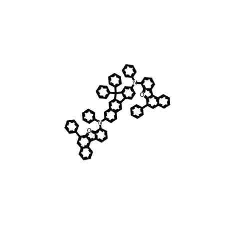 c1ccc(-c2cc3ccccc3c3c2oc2c(N(c4ccccc4)c4ccc5c(c4)C(c4ccccc4)(c4ccccc4)c4cc6cc(N(c7ccccc7)c7cccc8c7oc7c(-c9ccccc9)cc9ccccc9c78)ccc6cc4-5)cccc23)cc1